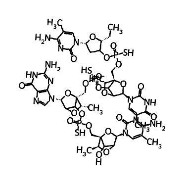 CC[C@H]1O[C@@H](n2cc(C)c(N)nc2=O)CC1OP(=O)(S)OC[C@]12O[C@@H](n3cc(C)c(=O)[nH]c3=O)C(O[C@H]1C)C2OP(=O)(S)OC[C@]12O[C@@H](n3cnc4c(=O)[nH]c(N)nc43)C(O[C@H]1C)C2OP(=O)(S)OC[C@]12O[C@@H](n3cc(C)c(N)nc3=O)C(O[C@H]1C)C2O